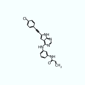 C=CC(=O)Nc1cccc(Nc2ncnc3[nH]c(C#Cc4ccc(Cl)cc4)cc23)c1